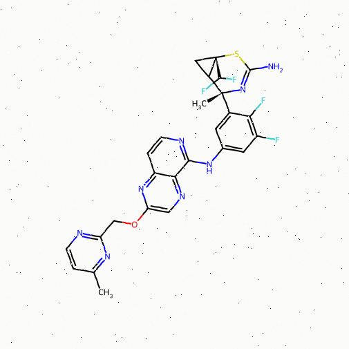 Cc1ccnc(COc2cnc3c(Nc4cc(F)c(F)c([C@@]5(C)N=C(N)S[C@@]6(C(F)F)CC65)c4)nccc3n2)n1